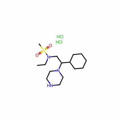 CCN(CC(C1CCCCC1)N1CCNCC1)S(C)(=O)=O.Cl.Cl